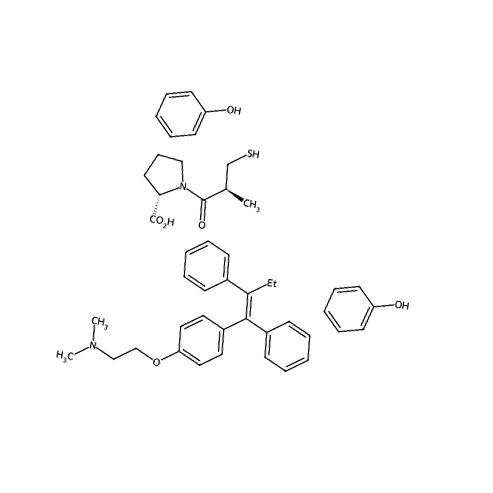 CC/C(=C(\c1ccccc1)c1ccc(OCCN(C)C)cc1)c1ccccc1.C[C@H](CS)C(=O)N1CCC[C@H]1C(=O)O.Oc1ccccc1.Oc1ccccc1